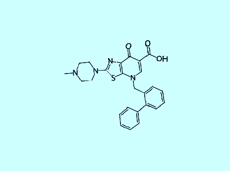 CN1CCN(c2nc3c(=O)c(C(=O)O)cn(Cc4ccccc4-c4ccccc4)c3s2)CC1